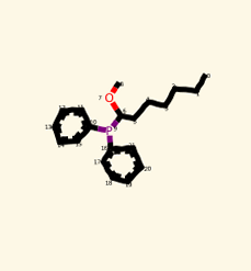 CCCCCCC(OC)P(c1ccccc1)c1ccccc1